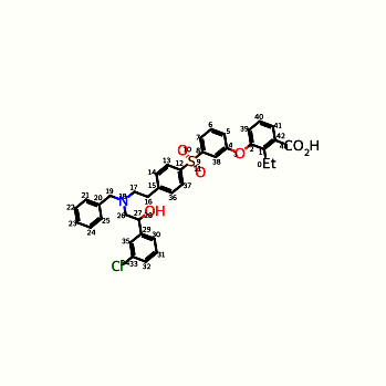 CCc1c(Oc2cccc(S(=O)(=O)c3ccc(CCN(Cc4ccccc4)CC(O)c4cccc(Cl)c4)cc3)c2)cccc1C(=O)O